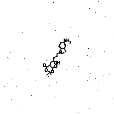 CC1(C)OC(=O)C(=C/C(O)=C/C=C/N2CCc3cc(N)ccc32)C(=O)O1